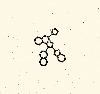 c1coc(-c2cc3ccccc3c3c(-c4ccc5ccccc5c4)c(-c4cc5ccccc5s4)nn23)c1